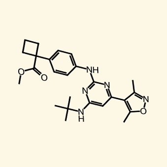 COC(=O)C1(c2ccc(Nc3nc(NC(C)(C)C)cc(-c4c(C)noc4C)n3)cc2)CCC1